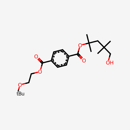 CC(C)(CO)CC(C)(C)OC(=O)c1ccc(C(=O)OCCOC(C)(C)C)cc1